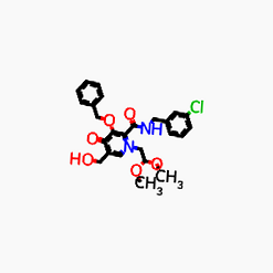 COC(Cn1cc(CO)c(=O)c(OCc2ccccc2)c1C(=O)NCc1cccc(Cl)c1)OC